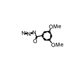 COc1cc(OC)cc(C(=O)N=[N+]=[N-])c1